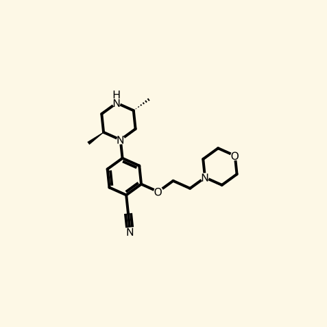 C[C@@H]1CN(c2ccc(C#N)c(OCCN3CCOCC3)c2)[C@@H](C)CN1